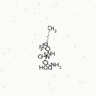 CCCCCCCCOc1ccc(Nc2nc(-c3ccc(O)c(C(N)=O)c3)c(Cl)s2)cc1C(F)(F)F